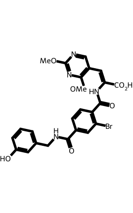 COc1ncc(/C=C(\NC(=O)c2ccc(C(=O)NCc3cccc(O)c3)cc2Br)C(=O)O)c(OC)n1